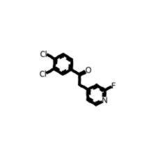 O=C(Cc1ccnc(F)c1)c1ccc(Cl)c(Cl)c1